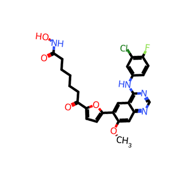 COc1cc2ncnc(Nc3ccc(F)c(Cl)c3)c2cc1-c1ccc(C(=O)CCCCCC(=O)NO)o1